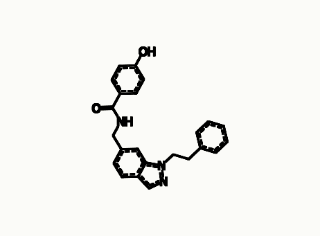 O=C(NCc1ccc2cnn(CCc3ccccc3)c2c1)c1ccc(O)cc1